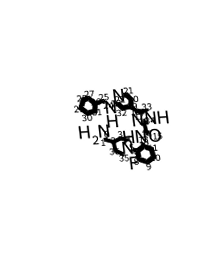 NCC1CCN(c2c(F)cccc2NC(=O)c2nc(-c3ccnc(NCc4ccccc4)c3)c[nH]2)CC1